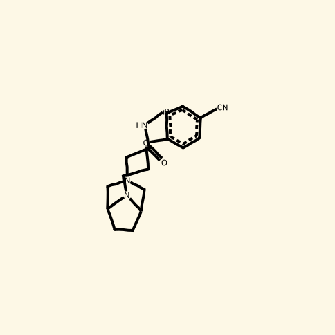 CC(C)NC(=O)CN1CC2CCC(C1)N2CCOc1ccc(C#N)cc1